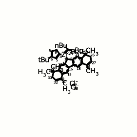 CCCC[C](CCCC)=[Zr+2]([C]1=CC(C(C)(C)C)=CC1)[CH]1c2cc3c(cc2-c2cc4c(cc21)C(C)(C)CC=C4C)C(C)=CCC3(C)C.[Cl-].[Cl-]